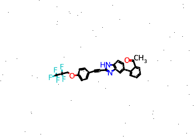 CC(=O)c1ccccc1-c1ccc2[nH]c(C#Cc3ccc(OCC(F)(F)C(F)(F)F)cc3)nc2c1